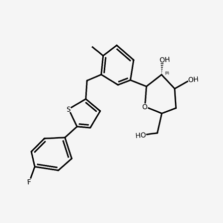 Cc1ccc(C2OC(CO)CC(O)[C@H]2O)cc1Cc1ccc(-c2ccc(F)cc2)s1